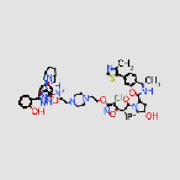 Cc1ncsc1-c1ccc([C@H](C)NC(=O)C2C[C@@H](O)CN2C(=O)[C@@H](c2onc(OCCN3CCN(CCOc4cc(N5C6CCC5CN(c5cc(-c7ccccc7O)nnc5N)C6)ccn4)CC3)c2Cl)C(C)C)cc1